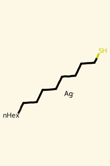 CCCCCCCCCCCCCCS.[Ag]